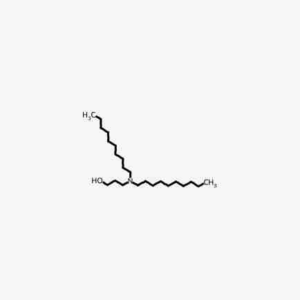 CCCCCCCCCCN(CCCO)CCCCCCCCCC